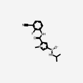 CC(C)N[S+]([O-])c1cc(C(=O)Nc2cccc(C#N)c2F)n(C)c1